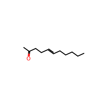 CCCCCC=CCCC(C)=O